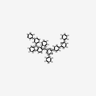 c1ccc(-c2cccc(-n3c4ccccc4c4ccc5c(c6ccccc6n5-c5nc(-c6ccccc6)nc(-c6ccc(-c7cccc(-c8ccccc8)n7)cc6)n5)c43)c2)cc1